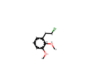 COc1cccc(CCBr)c1OC